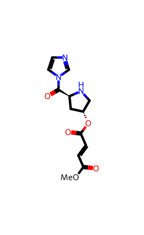 COC(=O)/C=C/C(=O)O[C@H]1CN[C@H](C(=O)n2ccnc2)C1